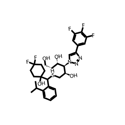 CC(C)c1ccccc1C([SH]1C[C@H](O)[C@H](n2cc(-c3cc(F)c(F)c(F)c3)nn2)[C@@H](O)[C@H]1CO)C1(O)CCC(F)(F)CC1